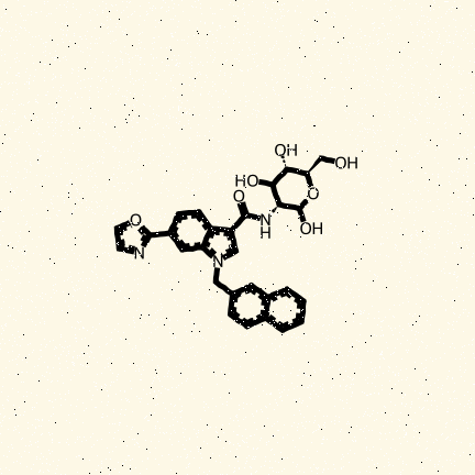 O=C(N[C@H]1C(O)O[C@H](CO)[C@@H](O)C1O)c1cn(Cc2ccc3ccccc3c2)c2cc(-c3ncco3)ccc12